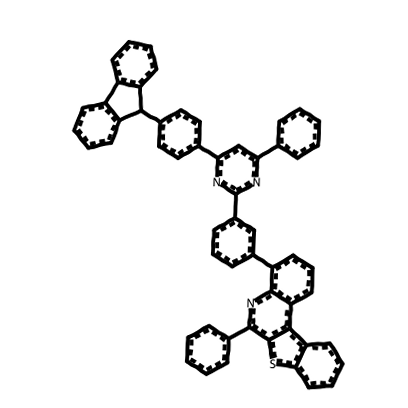 c1ccc(-c2cc(-c3ccc(C4c5ccccc5-c5ccccc54)cc3)nc(-c3cccc(-c4cccc5c4nc(-c4ccccc4)c4sc6ccccc6c45)c3)n2)cc1